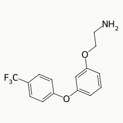 NCCOc1cccc(Oc2ccc(C(F)(F)F)cc2)c1